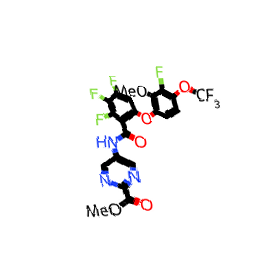 COC(=O)c1ncc(NC(=O)c2c(Oc3ccc(OC(F)(F)F)c(F)c3OC)cc(F)c(F)c2F)cn1